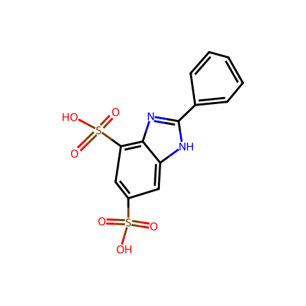 O=S(=O)(O)c1cc(S(=O)(=O)O)c2nc(-c3ccccc3)[nH]c2c1